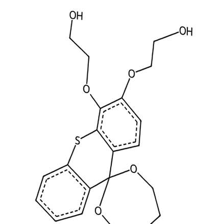 OCCOc1ccc2c(c1OCCO)Sc1ccccc1C21OCCCCO1